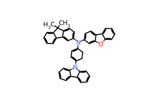 CC1(C)c2ccccc2-c2cc(N(C3=CC=C(n4c5ccccc5c5ccccc54)CC3)c3ccc4c(c3)oc3ccccc34)ccc21